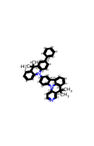 CC1(C)c2ccccc2N(c2ccc3c(c2)c2cccc4c2n3-c2ccncc2C4(C)C)c2ccc(-c3ccccc3)cc21